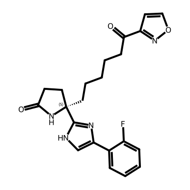 O=C1CC[C@@](CCCCCC(=O)c2ccon2)(c2nc(-c3ccccc3F)c[nH]2)N1